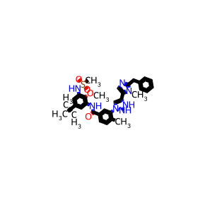 COc1c(NC(=O)c2ccc(C)c(N3C=C(c4cnc(Cc5ccccc5)n4C)NN3)c2)cc(C(C)(C)C)cc1NS(C)(=O)=O